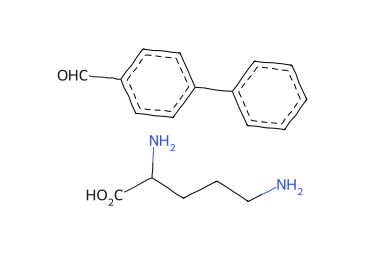 NCCCC(N)C(=O)O.O=Cc1ccc(-c2ccccc2)cc1